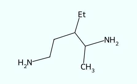 CCC(CCN)C(C)N